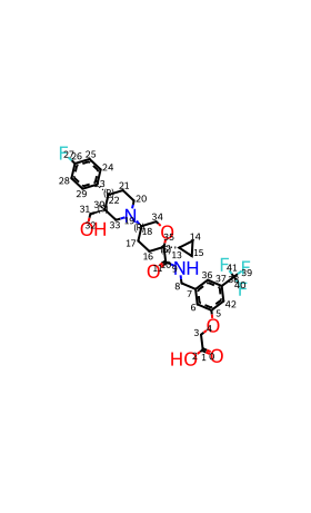 O=C(O)COc1cc(CNC(=O)[C@@]2(C3CC3)CC[C@@H](N3CC[C@@H](c4ccc(F)cc4)[C@H](CO)C3)CO2)cc(C(F)(F)F)c1